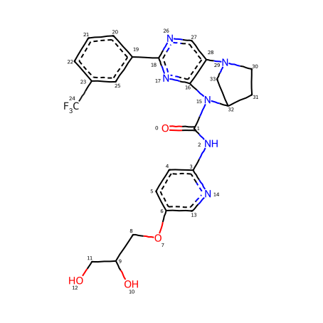 O=C(Nc1ccc(OCC(O)CO)cn1)N1c2nc(-c3cccc(C(F)(F)F)c3)ncc2N2CCC1C2